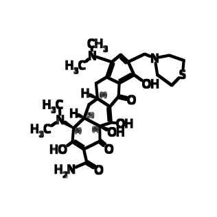 CN(C)c1cc(CN2CCSCC2)c(O)c2c1C[C@H]1C[C@H]3[C@H](N(C)C)C(O)=C(C(N)=O)C(=O)[C@@]3(O)C(O)=C1C2=O